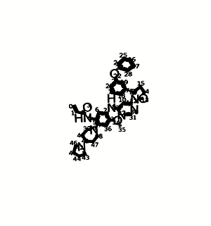 C=CC(=O)Nc1cc(Nc2cc(N3OCC[C@@H]3c3cccc(Oc4ccccc4)c3)ncn2)c(OC)cc1N1CCC(N2CCCC2)CC1